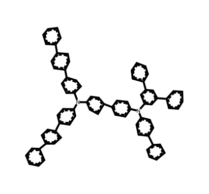 c1ccc(-c2ccc(-c3ccc(N(c4ccc(-c5ccc(-c6ccccc6)cc5)cc4)c4ccc(-c5ccc(N(c6ccc(-c7ccccc7)cc6)c6cc(-c7ccccc7)cc(-c7ccccc7)c6)cc5)cc4)cc3)cc2)cc1